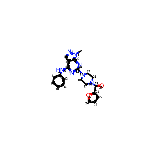 Cn1ncc2c(Nc3ccccc3)nc(N3CCN(C(=O)c4ccco4)CC3)nc21